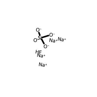 F.[Na+].[Na+].[Na+].[Na+].[O-][Si]([O-])([O-])[O-]